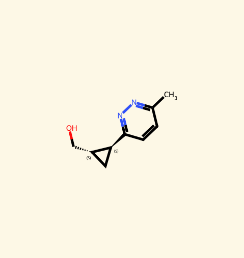 Cc1ccc([C@H]2C[C@@H]2CO)nn1